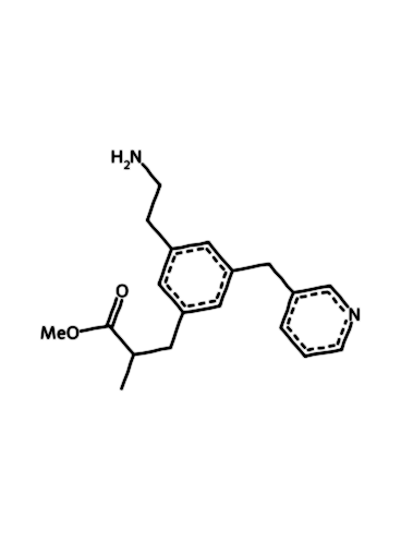 COC(=O)C(C)Cc1cc(CCN)cc(Cc2cccnc2)c1